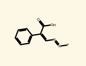 O=C(O)C(=CN=NF)c1ccccc1